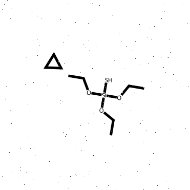 C1CC1.CCO[Si](S)(OCC)OCC